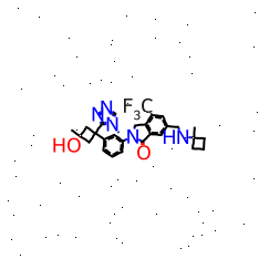 Cn1cnnc1C1(c2cccc(N3Cc4c(cc(CNC5(C)CCC5)cc4C(F)(F)F)C3=O)c2)CC(C)(O)C1